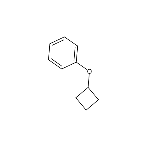 c1ccc(OC2CCC2)cc1